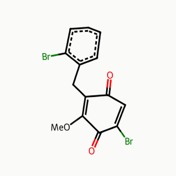 COC1=C(Cc2ccccc2Br)C(=O)C=C(Br)C1=O